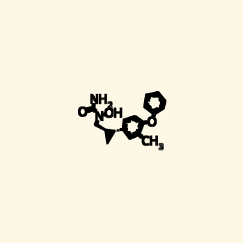 Cc1cc([C@@H]2C[C@H]2CN(O)C(N)=O)ccc1Oc1ccccc1